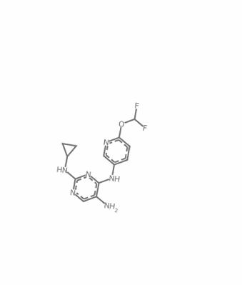 Nc1cnc(NC2CC2)nc1Nc1ccc(OC(F)F)nc1